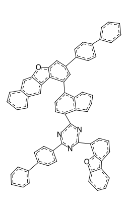 c1ccc(-c2ccc(-c3cc(-c4ccc(-c5nc(-c6ccc(-c7ccccc7)cc6)nc(-c6cccc7c6oc6ccccc67)n5)c5ccccc45)c4c(c3)oc3cc5ccccc5cc34)cc2)cc1